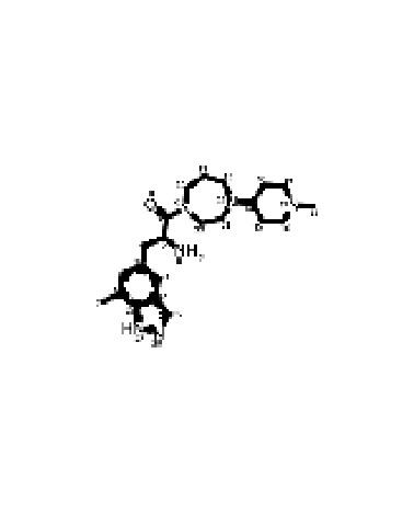 Cc1cc(CC(N)C(=O)N2CCCN(C3CCN(C)CC3)CC2)cc2cn[nH]c12